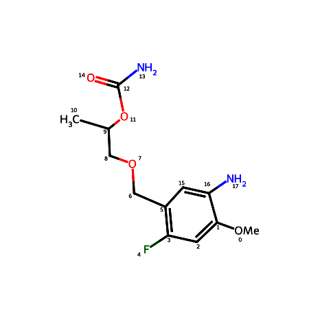 COc1cc(F)c(COCC(C)OC(N)=O)cc1N